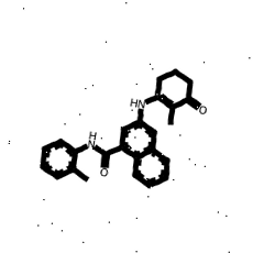 CC1=C(Nc2cc(C(=O)Nc3ccccc3C)c3ccccc3c2)CCCC1=O